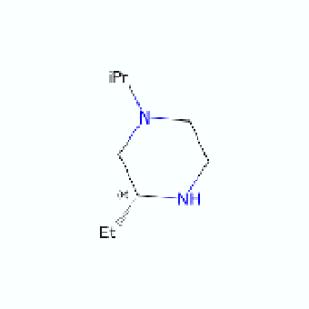 CC[C@@H]1CN(C(C)C)CCN1